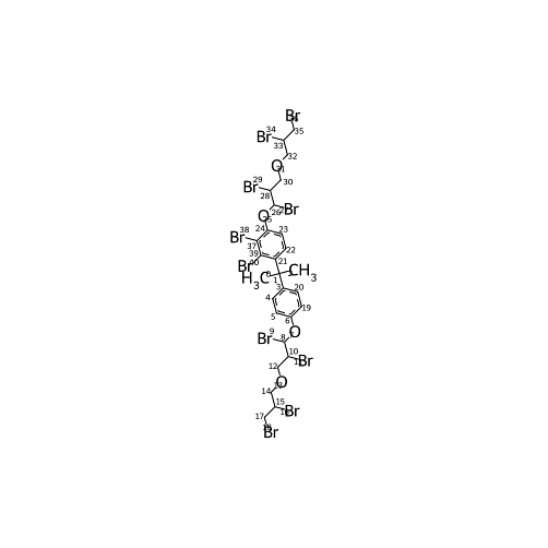 CC(C)(c1ccc(OC(Br)C(Br)COCC(Br)CBr)cc1)c1ccc(OC(Br)C(Br)COCC(Br)CBr)c(Br)c1Br